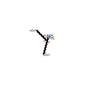 CCCCCCCCC=CCCCCCCCC(=O)C(CC[N+](C)(C)C)C(=O)CCCCCCCC=CCCCCCCCC.[Cl-]